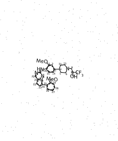 COc1cc(C2CCN(C[C@H](O)C(F)(F)F)CC2)ccc1Nc1ncc2ccc(-c3ccccc3OC)n2n1